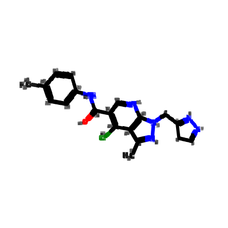 Cc1nn(CC2=NN=CC2)c2ncc(C(=O)Nc3ccc(C(F)(F)F)cc3)c(Cl)c12